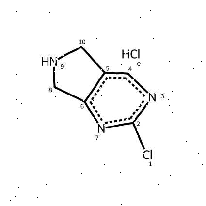 Cl.Clc1ncc2c(n1)CNC2